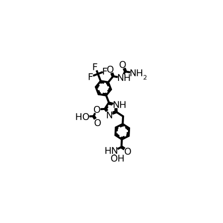 NC(=O)NC(=O)c1cc(-c2[nH]c(Cc3ccc(C(=O)NO)cc3)nc2OC(=O)O)ccc1C(F)(F)F